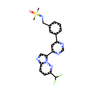 CS(C)(=O)=NCc1cccc(-c2cc(-c3cnc4ccc(C(F)F)nn34)ncn2)c1